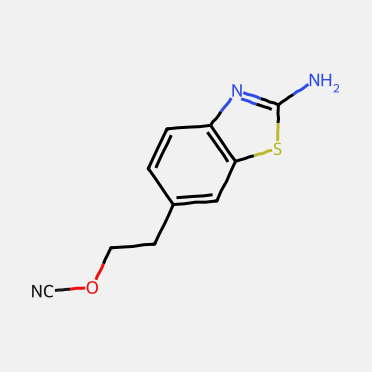 N#COCCc1ccc2nc(N)sc2c1